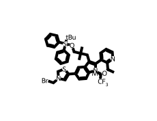 COC(C)c1ncccc1-c1c(CC(C)(C)CO[Si](c2ccccc2)(c2ccccc2)C(C)(C)C)c2cc(C3=CN(CBr)CS3)ccc2n1CC(F)(F)F